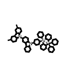 Cc1ccc2c(c1)c1cc(C)ccc1n2-c1ccc2c(c1)c1ccccc1n2-c1ccc([Si]2(c3ccccc3)c3ccccc3[Si](c3ccccc3)(c3ccccc3)c3ccccc32)cc1